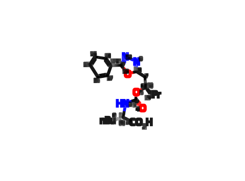 CCCC[C@H](NC(=O)O[C@@H](Cc1nnc(-c2ccccc2)o1)C(C)C)C(=O)O